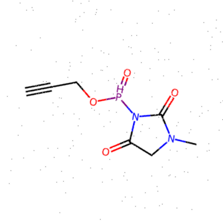 C#CCO[PH](=O)N1C(=O)CN(C)C1=O